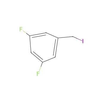 Fc1cc(F)cc(CI)c1